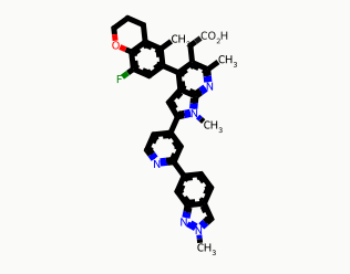 Cc1nc2c(cc(-c3ccnc(-c4ccc5cn(C)nc5c4)c3)n2C)c(-c2cc(F)c3c(c2C)CCCO3)c1CC(=O)O